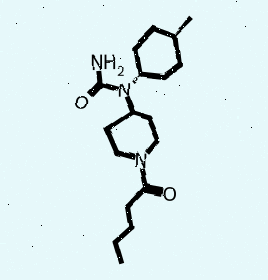 CCCCC(=O)N1CCC(N(C(N)=O)[C@H]2CC[C@H](C)CC2)CC1